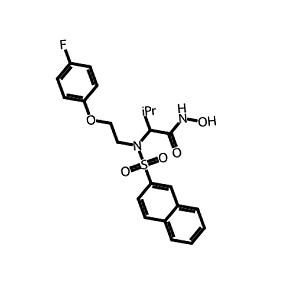 CC(C)C(C(=O)NO)N(CCOc1ccc(F)cc1)S(=O)(=O)c1ccc2ccccc2c1